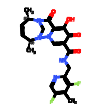 Cc1c(F)cnc(CNC(=O)c2cn3c(c(O)c2=O)C(=O)N2CN3[C@H](C)C=C[C@@H]2C)c1F